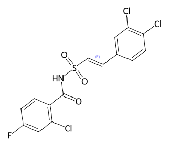 O=C(NS(=O)(=O)/C=C/c1ccc(Cl)c(Cl)c1)c1ccc(F)cc1Cl